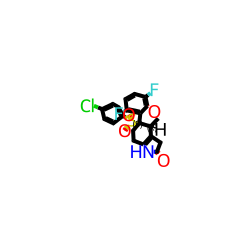 O=C1CC2=C(CC[C@@]3(S(=O)(=O)c4ccc(Cl)cc4)c4c(F)ccc(F)c4OC[C@@H]23)N1